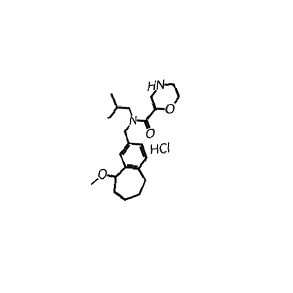 COC1CCCCc2ccc(CN(CC(C)C)C(=O)C3CNCCO3)cc21.Cl